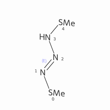 CS/N=N/NSC